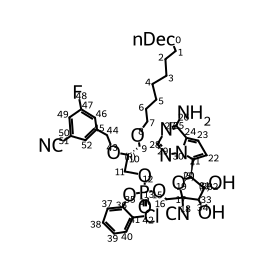 CCCCCCCCCCCCCCCCCOC[C@H](COP(=O)(OCC1(C#N)O[C@@H](c2ccc3c(N)ncnn23)[C@H](O)C1O)Oc1ccccc1Cl)OCc1cc(F)cc(C#N)c1